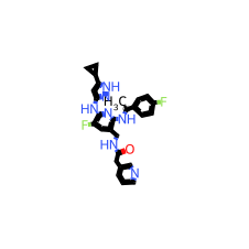 C[C@H](Nc1nc(Nc2cc(C3CC3)[nH]n2)c(F)cc1CNC(=O)Cc1cccnc1)c1ccc(F)cc1